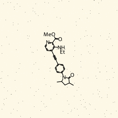 CCNc1c(C#Cc2ccc(N3C(=O)C(C)CC3C)cc2)ccnc1C(=O)OC